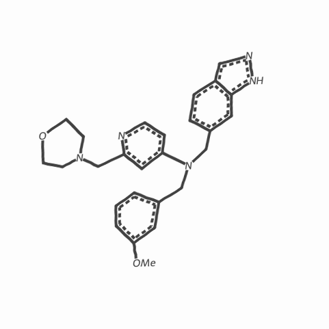 COc1cccc(CN(Cc2ccc3cn[nH]c3c2)c2ccnc(CN3CCOCC3)c2)c1